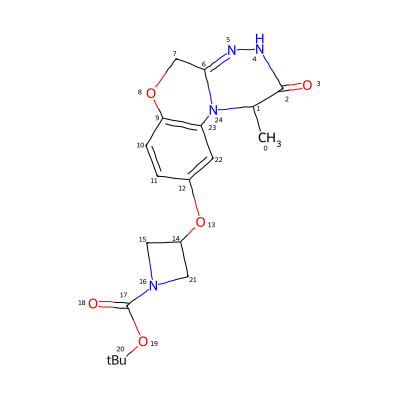 CC1C(=O)NN=C2COc3ccc(OC4CN(C(=O)OC(C)(C)C)C4)cc3N21